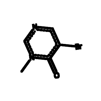 Cn1cncc(Br)c1=O